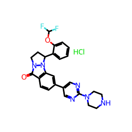 Cl.O=c1c2ccc(-c3cnc(N4CCNCC4)nc3)cc2n2n1CCC2c1ccccc1OC(F)F